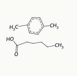 CCCCCC(=O)O.Cc1ccc(C)cc1